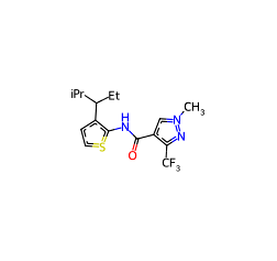 CCC(c1ccsc1NC(=O)c1cn(C)nc1C(F)(F)F)C(C)C